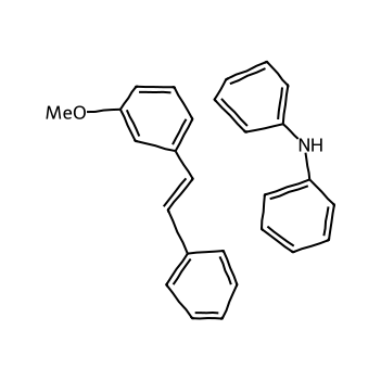 COc1cccc(C=Cc2ccccc2)c1.c1ccc(Nc2ccccc2)cc1